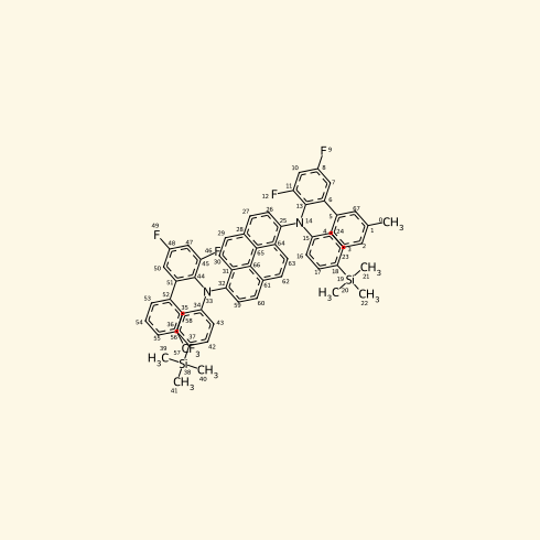 Cc1cccc(-c2cc(F)cc(F)c2N(c2ccc([Si](C)(C)C)cc2)c2ccc3ccc4c(N(c5ccc([Si](C)(C)C)cc5)c5c(F)cc(F)cc5-c5cccc(C(F)(F)F)c5)ccc5ccc2c3c54)c1